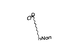 CCCCCCCCCCCCCCCCCCCCCC(=O)Cl